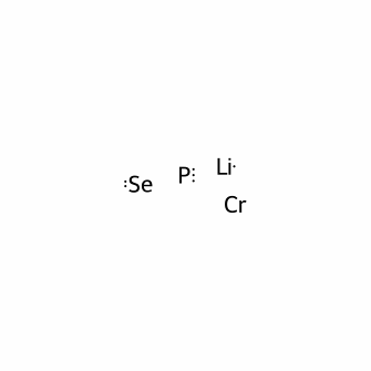 [Cr].[Li].[P].[Se]